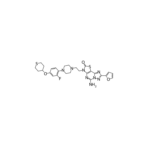 Nc1nc2c(sc(=O)n2CCN2CCN(c3ccc(OC4CCSCC4)cc3F)CC2)c2nc(-c3ccco3)nn12